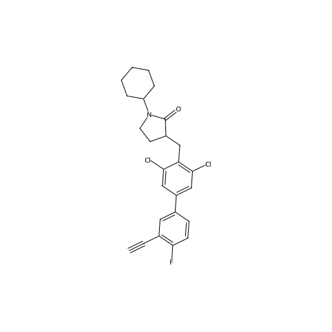 C#Cc1cc(-c2cc(Cl)c(CC3CCN(C4CCCCC4)C3=O)c(Cl)c2)ccc1F